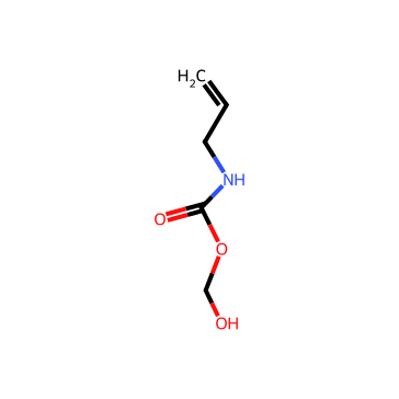 C=CCNC(=O)OCO